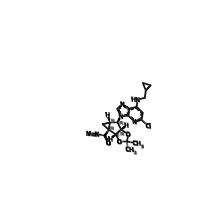 CNC(=O)[C@@]12C[C@@H]1[C@@H](n1cnc3c(NCC4CC4)cc(Cl)nc31)[C@@H]1OC(C)(C)O[C@@H]12